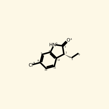 CC[C@H]1C(=O)Nc2cc(Cl)ccc21